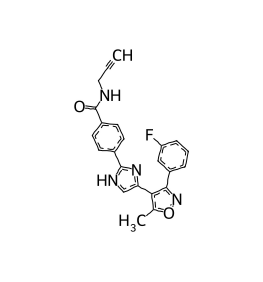 C#CCNC(=O)c1ccc(-c2nc(-c3c(-c4cccc(F)c4)noc3C)c[nH]2)cc1